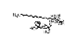 CCCCCCCCCCCCCCCC(O)C(O)(O)C(=O)O.OCC(CO)(CO)COCC(CO)(CO)CO